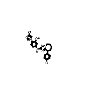 COc1cc(Nc2nc3n(n2)CCCCC3c2ccc(Cl)cc2)ccc1-n1cnc(Cl)c1